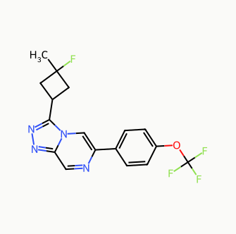 CC1(F)CC(c2nnc3cnc(-c4ccc(OC(F)(F)F)cc4)cn23)C1